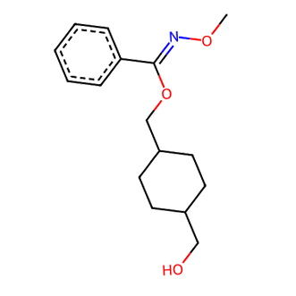 CO/N=C(\OCC1CCC(CO)CC1)c1ccccc1